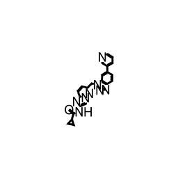 O=C(Nc1cn2nc(Cn3nnc4ccc(-c5cccnc5)cc43)ccc2n1)C1CC1